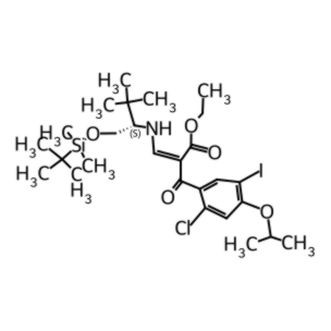 CCOC(=O)C(=CN[C@H](CO[Si](C)(C)C(C)(C)C)C(C)(C)C)C(=O)c1cc(I)c(OC(C)C)cc1Cl